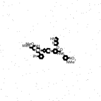 CN/C=C(/CN1CCN(C2CC3(CCN(c4ccc(C(=O)NSc5ccc(NC)c([N+](=O)[O-])c5)c(Oc5cnc6[nH]ccc6c5)c4)CC3)C2)C(c2ccccc2C(C)C)C1)C(=N)OC